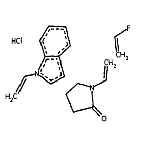 C=CF.C=CN1CCCC1=O.C=Cn1ccc2ccccc21.Cl